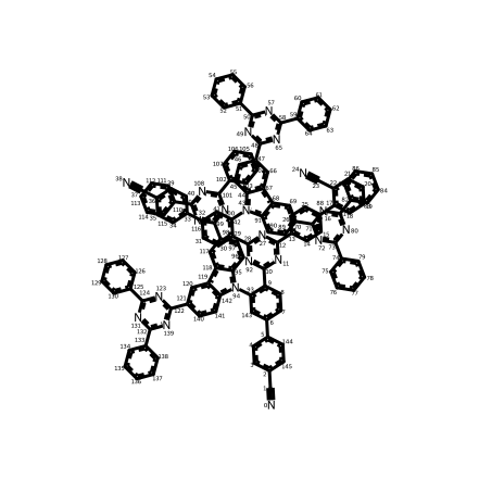 N#Cc1ccc(-c2ccc(-c3nc(-c4ccc(-c5ccccc5C#N)cc4)nc(-c4ccc(-c5ccc(C#N)cc5)cc4-n4c5ccc(-c6nc(-c7ccccc7)nc(-c7ccccc7)n6)cc5c5cc(-c6nc(-c7ccccc7)nc(-c7ccccc7)n6)ccc54)n3)c(-n3c4ccc(-c5nc(-c6ccccc6)nc(-c6ccccc6)n5)cc4c4cc(-c5nc(-c6ccccc6)nc(-c6ccccc6)n5)ccc43)c2)cc1